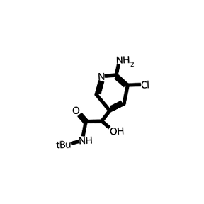 CC(C)(C)NC(=O)C(O)c1cnc(N)c(Cl)c1